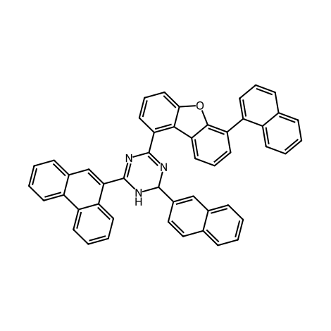 c1ccc2cc(C3N=C(c4cccc5oc6c(-c7cccc8ccccc78)cccc6c45)N=C(c4cc5ccccc5c5ccccc45)N3)ccc2c1